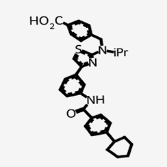 CC(C)N(Cc1ccc(C(=O)O)cc1)c1nc(-c2cccc(NC(=O)c3ccc(C4CCCCC4)cc3)c2)cs1